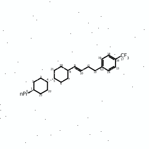 CCC[C@H]1CC[C@H](C2CCC(/C=C/CCc3ccc(C(F)(F)F)cc3)CC2)CC1